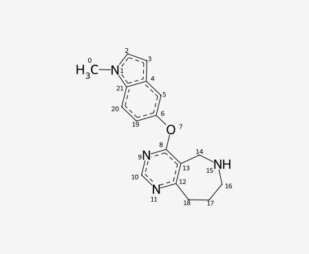 Cn1ccc2cc(Oc3ncnc4c3CNCCC4)ccc21